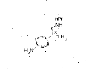 CCCNC[C@H](C)c1ccc(N)cc1